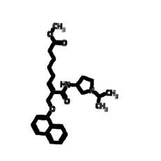 COC(=O)CCCCC=C(COc1cccc2ccccc12)C(=O)NC1CCN(C(C)C)C1